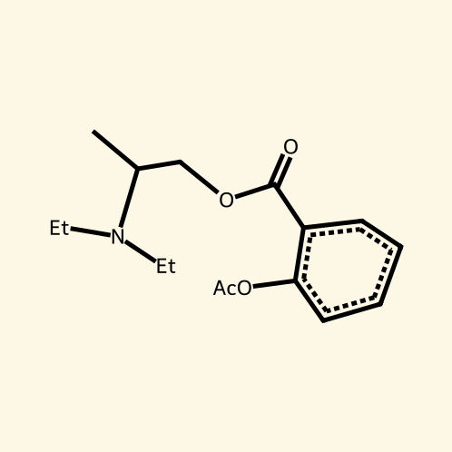 CCN(CC)C(C)COC(=O)c1ccccc1OC(C)=O